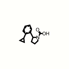 O=C(O)N1CCCC1c1ccccc1C1CC1